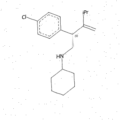 C=C(C(C)C)[C@H](CNC1CCCCC1)c1ccc(Cl)cc1